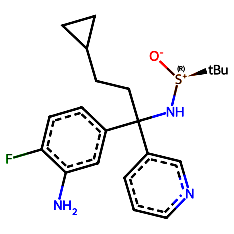 CC(C)(C)[S@+]([O-])NC(CCC1CC1)(c1cccnc1)c1ccc(F)c(N)c1